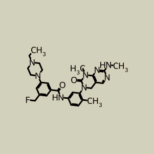 CCN1CCN(c2cc(CF)cc(C(=O)Nc3ccc(C)c(N4Cc5cnc(NC)nc5N(C)C4=O)c3)c2)CC1